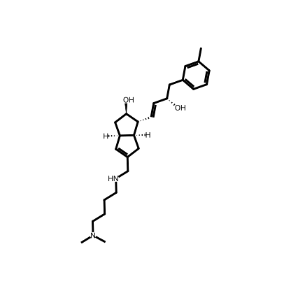 Cc1cccc(C[C@H](O)/C=C/[C@@H]2[C@H]3CC(CNCCCCN(C)C)=C[C@H]3C[C@H]2O)c1